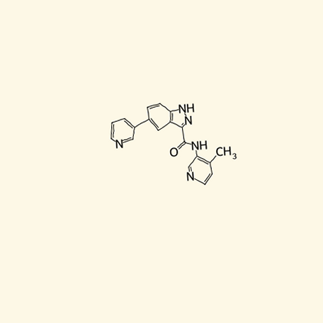 Cc1ccncc1NC(=O)c1n[nH]c2ccc(-c3cccnc3)cc12